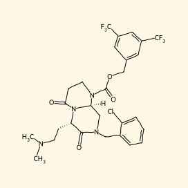 CN(C)CC[C@H]1C(=O)N(Cc2ccccc2Cl)C[C@@H]2N(C(=O)OCc3cc(C(F)(F)F)cc(C(F)(F)F)c3)CCC(=O)N21